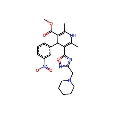 COC(=O)C1=C(C)NC(C)=C(c2nc(CN3CCCCC3)no2)C1c1cccc([N+](=O)[O-])c1